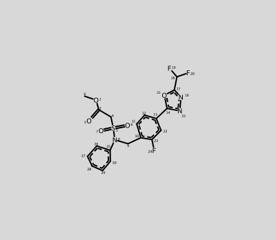 COC(=O)CS(=O)(=O)N(Cc1ccc(-c2nnc(C(F)F)o2)cc1F)c1ccccc1